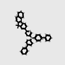 CC1(C)c2cc(-c3ccc(N(c4ccc(-c5ccccc5)cc4)c4ccc(-c5ccccc5)cc4)cn3)ccc2-c2c1ccc1c2C=CCC1